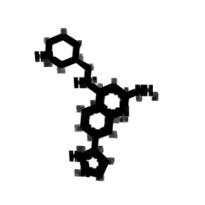 Nc1cc(NC[C@@H]2CCCNC2)c2ccc(-c3ccn[nH]3)cc2n1